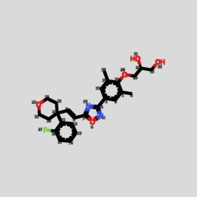 Cc1cc(-c2noc(C=CC3(c4ccccc4F)CCOCC3)n2)cc(C)c1OC[C@@H](O)CO